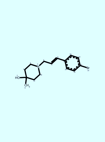 CC1(O)CCN(CC=Cc2ccc(Br)cc2)CC1